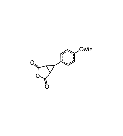 COc1ccc(C2C3C(=O)OC(=O)C32)cc1